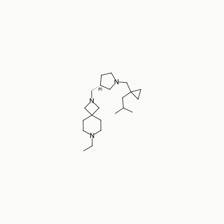 CCN1CCC2(CC1)CN(C[C@@H]1CCN(CC3(CC(C)C)CC3)C1)C2